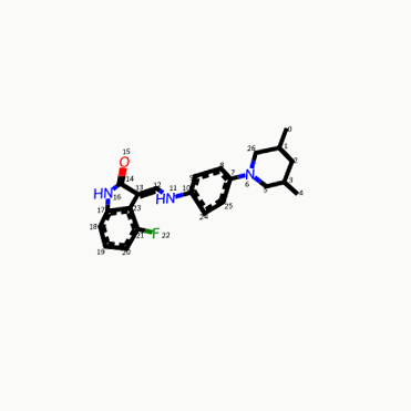 CC1CC(C)CN(c2ccc(N/C=C3/C(=O)Nc4cccc(F)c43)cc2)C1